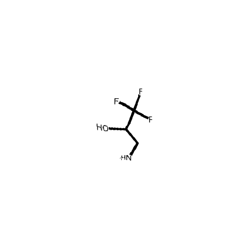 [NH]CC(O)C(F)(F)F